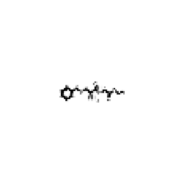 CCOC(=O)CNC(=O)[C@@H](N)CSCc1ccccc1